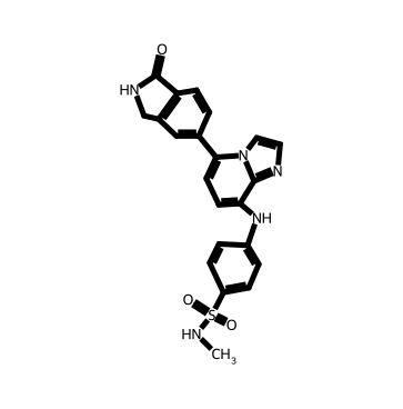 CNS(=O)(=O)c1ccc(Nc2ccc(-c3ccc4c(c3)CNC4=O)n3ccnc23)cc1